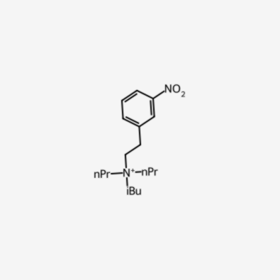 CCC[N+](CCC)(CCc1cccc([N+](=O)[O-])c1)C(C)CC